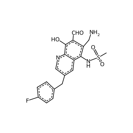 CS(=O)(=O)Nc1c(CN)c(C=O)c(O)c2ncc(Cc3ccc(F)cc3)cc12